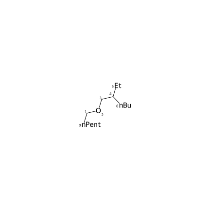 CCCCCCOCC(CC)CCCC